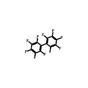 Cc1c(F)c(F)c(F)c(-c2c(C)c(F)c(F)c(F)c2F)c1F